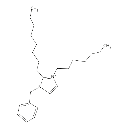 CCCCCCCCc1n(Cc2ccccc2)cc[n+]1CCCCCCC